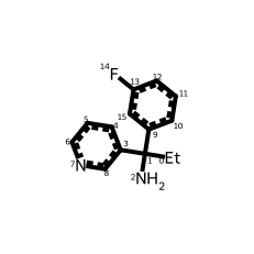 CCC(N)(c1cccnc1)c1cccc(F)c1